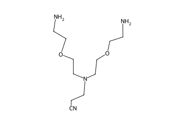 N#CCCN(CCOCCN)CCOCCN